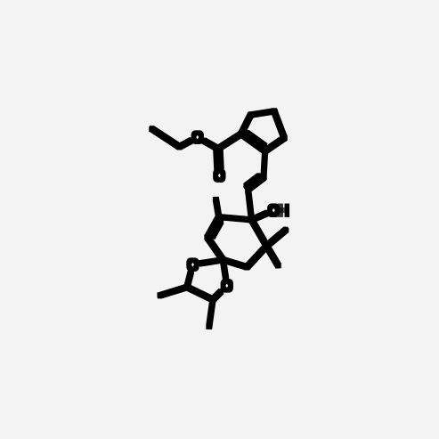 CCOC(=O)C1=C(C=CC2(O)C(C)=CC3(CC2(C)C)OC(C)C(C)O3)CCC1